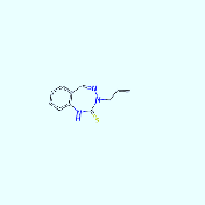 C=CCN1N=Cc2ccccc2NC1=S